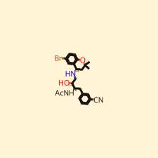 CC(=O)N[C@@H](Cc1cccc(C#N)c1)[C@@H](O)CN[C@H]1CC(C)(C)Oc2ccc(Br)cc21